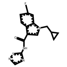 O=C(Nc1ncns1)c1cn(CC2CC2)c2cc(F)ccc12